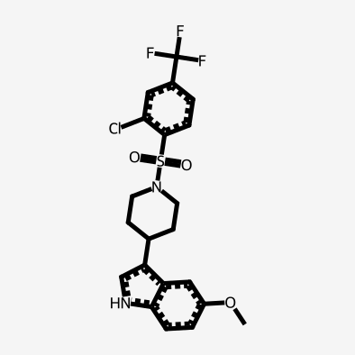 COc1ccc2[nH]cc(C3CCN(S(=O)(=O)c4ccc(C(F)(F)F)cc4Cl)CC3)c2c1